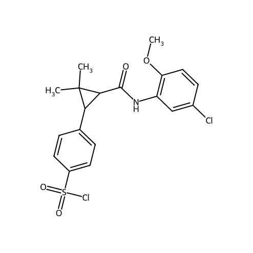 COc1ccc(Cl)cc1NC(=O)C1C(c2ccc(S(=O)(=O)Cl)cc2)C1(C)C